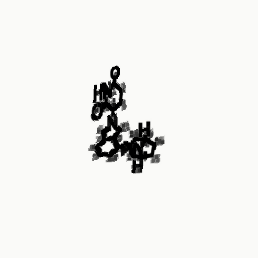 O=C1CCC(n2cc3cccc(N4C[C@H]5CC[C@@H](C4)N5)c3c2)C(=O)N1